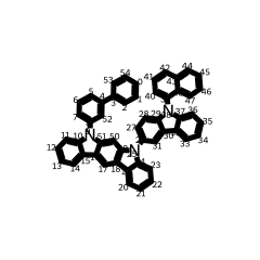 c1ccc(-c2cccc(-n3c4ccccc4c4cc5c6ccccc6n(-c6ccc7c(c6)c6ccccc6n7-c6cccc7ccccc67)c5cc43)c2)cc1